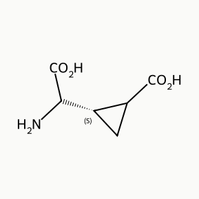 NC(C(=O)O)[C@H]1CC1C(=O)O